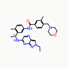 CCn1cc2ncc(N[C@@H](C)c3cc(NC(=O)c4ccc(CN5CCOCC5)c(C)c4)ccc3C)nc2n1